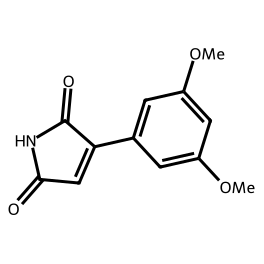 COc1cc(OC)cc(C2=CC(=O)NC2=O)c1